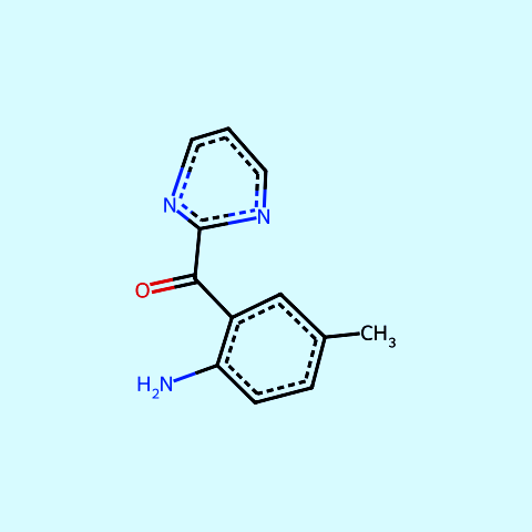 Cc1ccc(N)c(C(=O)c2ncccn2)c1